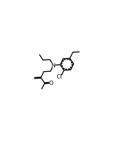 C=C(CCN(CCC)c1cc(CC)ccc1Cl)C(C)=O